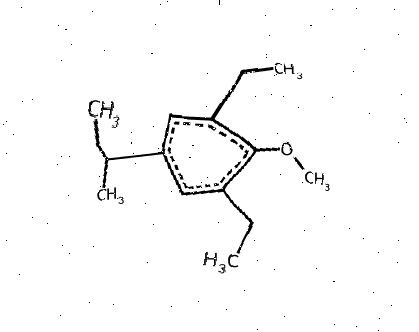 CCc1cc(C(C)C)cc(CC)c1OC